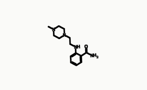 CN1CCN(CCNc2ccccc2C(N)=O)CC1